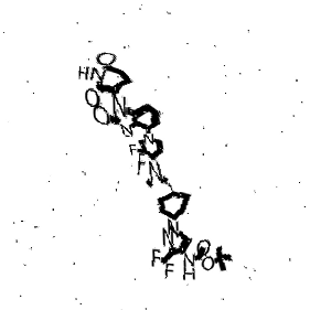 CN(C[C@H]1CC[C@H](n2cc(NC(=O)OC(C)(C)C)c(C(F)F)n2)CC1)C1CCN(c2cccc3c2n(C)c(=O)n3C2CCC(=O)NC2=O)CC1(F)F